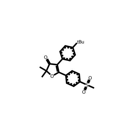 CC1(C)OC(c2ccc(S(C)(=O)=O)cc2)=C(c2ccc(C(C)(C)C)cc2)C1=O